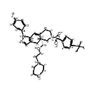 CC(C)(C)c1ccc(S(=O)(=O)N2CCC3=Cc4c(cnn4-c4ccc(F)cc4)C[C@]3(COCCN3CCOCC3)C2)cc1